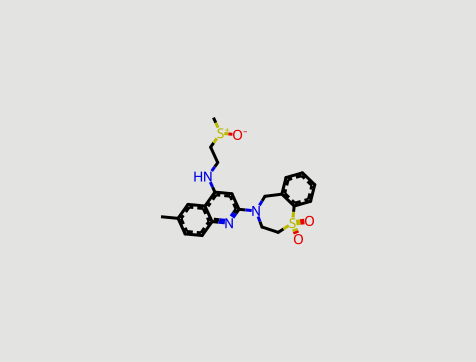 Cc1ccc2nc(N3CCS(=O)(=O)c4ccccc4C3)cc(NCC[S+](C)[O-])c2c1